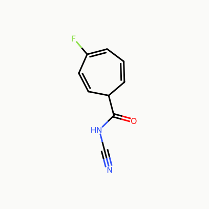 N#CNC(=O)C1C=CC=C(F)C=C1